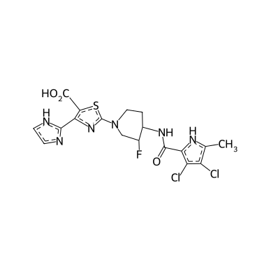 Cc1[nH]c(C(=O)NC2CCN(c3nc(-c4ncc[nH]4)c(C(=O)O)s3)CC2F)c(Cl)c1Cl